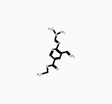 C=Cc1cc(C(=O)OCC)cnc1N=CN(C)C